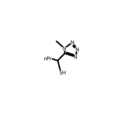 [CH2]CCC(S)c1nnnn1C